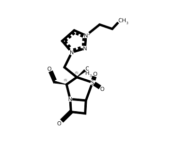 CCC[n+]1ccn(C[C@@]2(C)[C@H](C=O)N3C(=O)CC3S2(=O)=O)n1